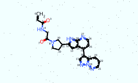 C=CC(=O)NCC(=O)N1CCC(c2cc3c(-c4cnn5ncccc45)ccnc3[nH]2)C1